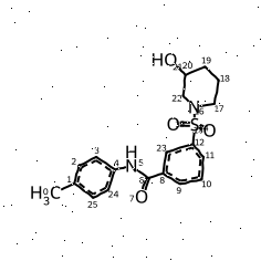 Cc1ccc(NC(=O)c2cccc(S(=O)(=O)N3CCCC(O)C3)c2)cc1